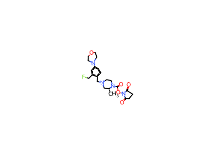 C[C@H]1CN(Cc2ccc(N3CCOCC3)cc2CF)CCN1C(=O)ON1C(=O)CCC1=O